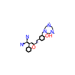 CN1CCN(C)CCN(Cc2cc(/C=C/C3=CC(=C(C#N)C#N)c4ccccc4O3)ccc2O)CC1